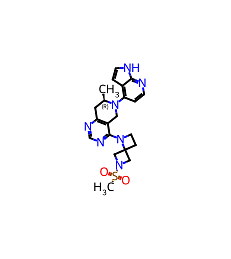 C[C@@H]1Cc2ncnc(N3CCC34CN(S(C)(=O)=O)C4)c2CN1c1ccnc2[nH]ccc12